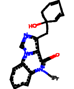 CC(C)n1c(=O)c2c(CC3(O)C=CC=CC3)ncn2c2ccccc21